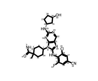 CC1(C(N)=O)CCC(n2c(Nc3c(F)cc(C#N)cc3Cl)nc3cnc(N[C@@H]4CC[C@@H](O)C4)nc32)CC1